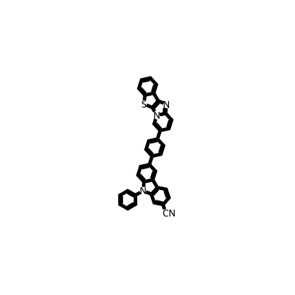 N#Cc1ccc2c3cc(-c4ccc(-c5ccc6nc7c8ccccc8sc7n6c5)cc4)ccc3n(-c3ccccc3)c2c1